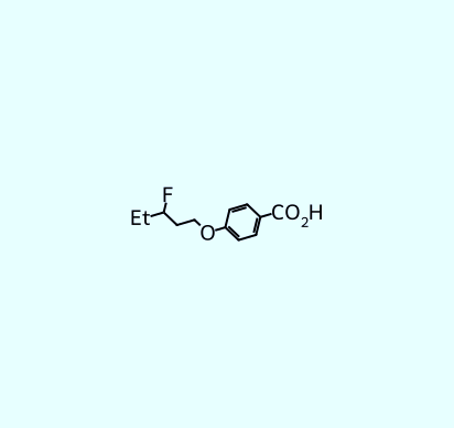 CCC(F)CCOc1ccc(C(=O)O)cc1